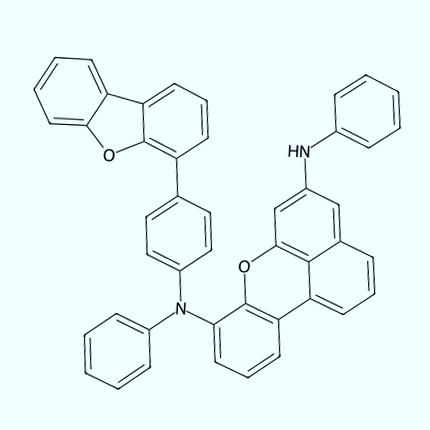 c1ccc(Nc2cc3c4c(cccc4c2)-c2cccc(N(c4ccccc4)c4ccc(-c5cccc6c5oc5ccccc56)cc4)c2O3)cc1